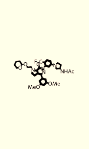 COc1cc(OC)cc(-c2nn(-c3cc(N4CCC(NC(C)=O)C4)ccc3C(F)(F)F)c(=O)c3c2ccn3CCO[C@@H]2CCCCO2)c1